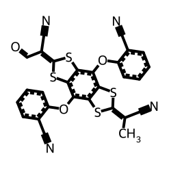 CC(C#N)=C1Sc2c(Oc3ccccc3C#N)c3c(c(Oc4ccccc4C#N)c2S1)SC(=C(C#N)C=O)S3